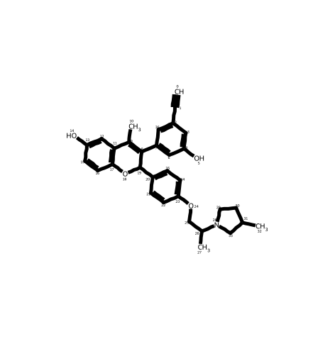 C#Cc1cc(O)cc(C2=C(C)c3cc(O)ccc3OC2c2ccc(OCC(C)N3CCC(C)C3)cc2)c1